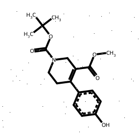 COC(=O)C1=C(c2ccc(O)cc2)CCN(C(=O)OC(C)(C)C)C1